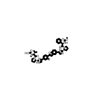 COC(=O)N[C@@H](C(=O)N1CCC[C@H]1c1ncc(-c2ccc3oc(-c4ccc(-c5c[nH]c([C@@H]6CCCN6C(=O)[C@H](C(C)C)N(C)C(=O)O)n5)cc4F)cc3c2)[nH]1)c1ccccc1